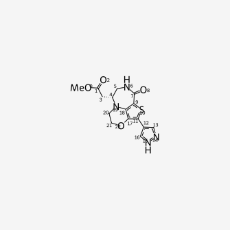 COC(=O)C[C@@H]1CNC(=O)c2sc(-c3cn[nH]c3)c3c2N1CCO3